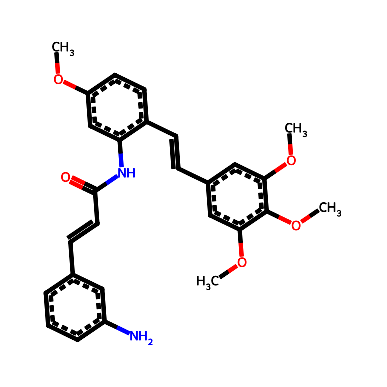 COc1ccc(C=Cc2cc(OC)c(OC)c(OC)c2)c(NC(=O)/C=C/c2cccc(N)c2)c1